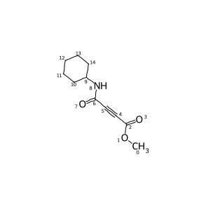 COC(=O)C#CC(=O)NC1CCCCC1